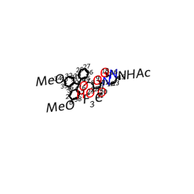 COc1ccc(C(OC[C@H]2O[C@@H](n3ccc(NC(C)=O)nc3=O)[C@H](OC(F)(F)F)[C@@H]2O)(c2ccccc2)c2ccc(OC)cc2)cc1